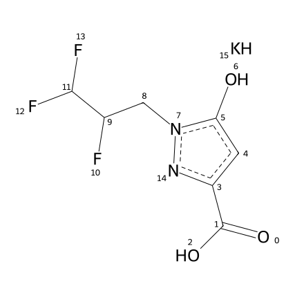 O=C(O)c1cc(O)n(CC(F)C(F)F)n1.[KH]